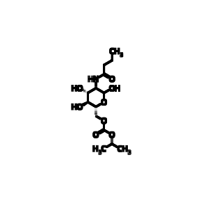 CCCC(=O)N[C@H]1C(O)O[C@H](COC(=O)OC(C)C)[C@@H](O)[C@@H]1O